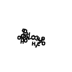 Cc1c(N2CCc3ccc(CNC(=O)c4nc(-c5ccco5)cc(=O)[nH]4)cc3C2)c(=O)c1=O